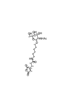 CC(=O)NC1C(OCCCCCCNC(=O)CCC2=CC(=O)OC2=O)OC(CO)C(O)C1O